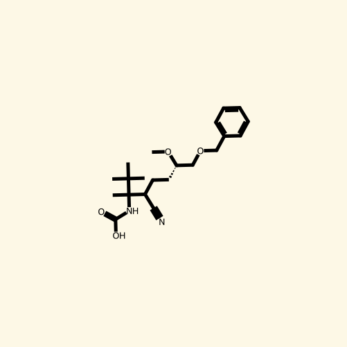 CO[C@@H](CCC(C#N)C(C)(NC(=O)O)C(C)(C)C)COCc1ccccc1